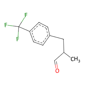 CC(C=O)Cc1ccc(C(F)(F)F)cc1